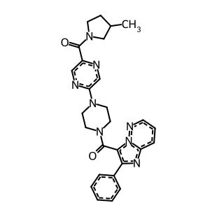 CC1CCN(C(=O)c2cnc(N3CCN(C(=O)c4c(-c5ccccc5)nc5cccnn45)CC3)cn2)C1